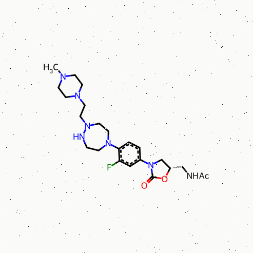 CC(=O)NC[C@H]1CN(c2ccc(N3CCNN(CCN4CCN(C)CC4)CC3)c(F)c2)C(=O)O1